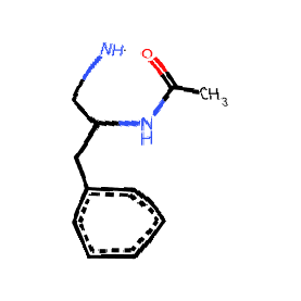 CC(=O)NC(C[NH])Cc1ccccc1